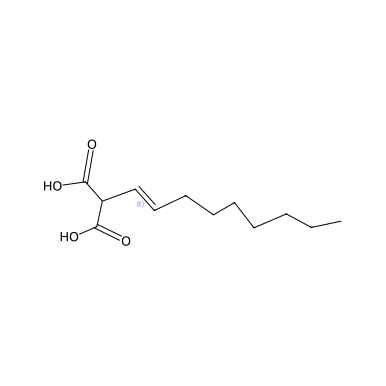 CCCCCCC/C=C/C(C(=O)O)C(=O)O